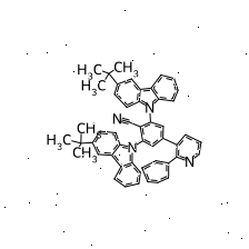 CC(C)(C)c1ccc2c(c1)c1ccccc1n2-c1cc(-c2cccnc2-c2ccccc2)cc(-n2c3ccccc3c3cc(C(C)(C)C)ccc32)c1C#N